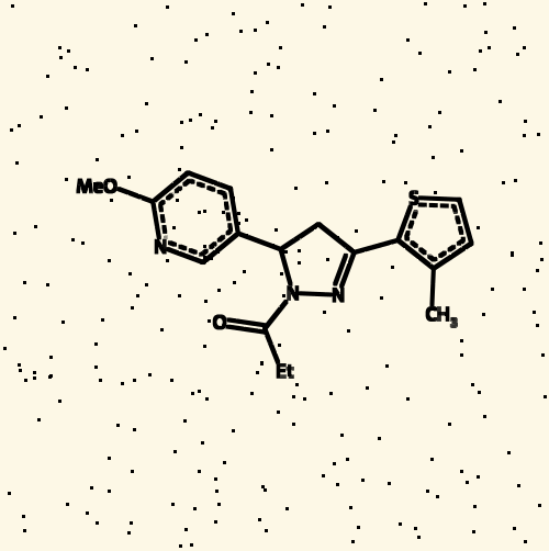 CCC(=O)N1N=C(c2sccc2C)CC1c1ccc(OC)nc1